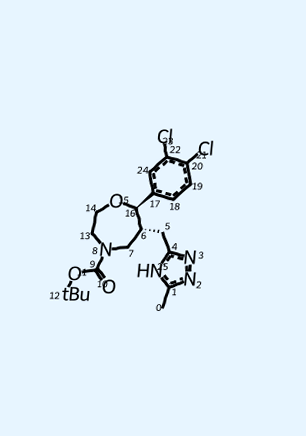 Cc1nnc(C[C@@H]2CN(C(=O)OC(C)(C)C)CCO[C@H]2c2ccc(Cl)c(Cl)c2)[nH]1